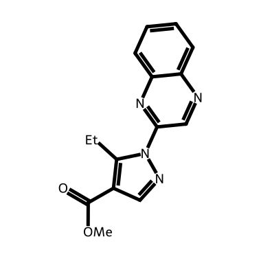 CCc1c(C(=O)OC)cnn1-c1cnc2ccccc2n1